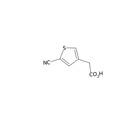 N#Cc1cc(CC(=O)O)cs1